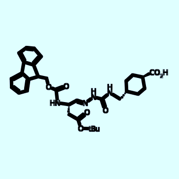 CC(C)(C)OC(=O)C[C@@H](/C=N/NC(=O)NC[C@H]1CC[C@H](C(=O)O)CC1)NC(=O)OCC1c2ccccc2-c2ccccc21